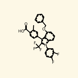 Cc1cc(-c2c(C(F)(F)F)n(-c3ccc(F)c(F)c3)c3cccc(OCc4ccccc4)c23)ccc1C(=O)O